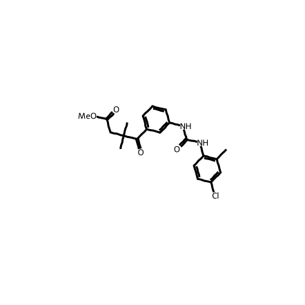 COC(=O)CC(C)(C)C(=O)c1cccc(NC(=O)Nc2ccc(Cl)cc2C)c1